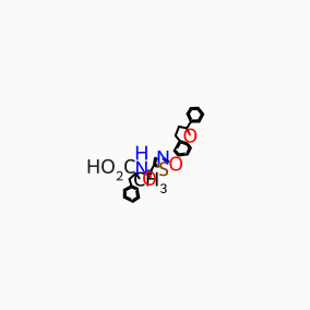 CC(Cc1ccccc1)(NC(=O)c1cnc(Oc2ccc3c(c2)CCC(c2ccccc2)O3)s1)C(=O)O